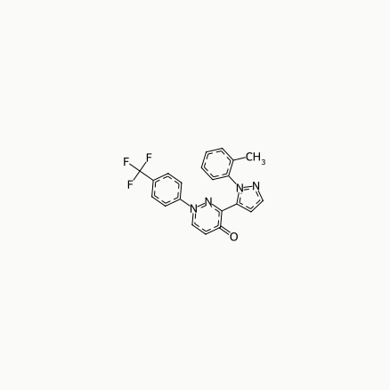 Cc1ccccc1-n1nccc1-c1nn(-c2ccc(C(F)(F)F)cc2)ccc1=O